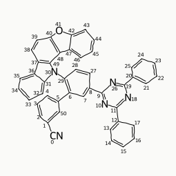 N#Cc1cccc(-c2cc(-c3nc(-c4ccccc4)nc(-c4ccccc4)n3)ccc2-n2c3ccccc3c3ccc4oc5ccccc5c4c32)c1